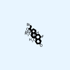 C[C@]12CCC(=O)C=C1[C@@H](F)C[C@@H]1C2=CC[C@@]2(C)[C@H]1CC[C@]2(O)C(=O)CBr